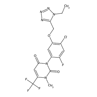 CCn1nnnc1COc1cc(-n2c(=O)cc(C(F)(F)F)n(C)c2=O)c(F)cc1Cl